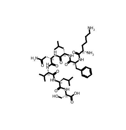 CC(C)C[C@H](NC(=O)[C@H](Cc1ccccc1)NC(=O)[C@@H](N)CCCCN)C(=O)N[C@@H](CC(N)=O)C(=O)N[C@H](C(=O)N[C@@H](CC(C)C)C(=O)N[C@@H](CO)C(=O)O)C(C)C